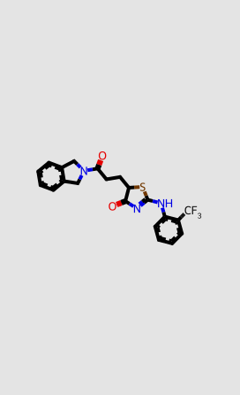 O=C1N=C(Nc2ccccc2C(F)(F)F)SC1CCC(=O)N1Cc2ccccc2C1